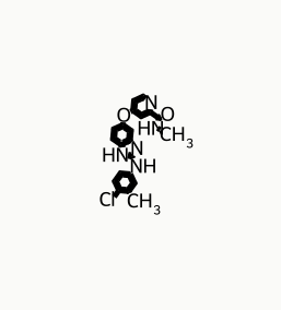 CNC(=O)c1cc(Oc2ccc3[nH]c(Nc4ccc(Cl)c(C)c4)nc3c2)ccn1